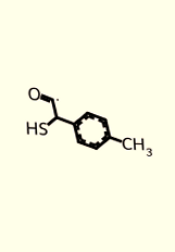 Cc1ccc(C(S)[C]=O)cc1